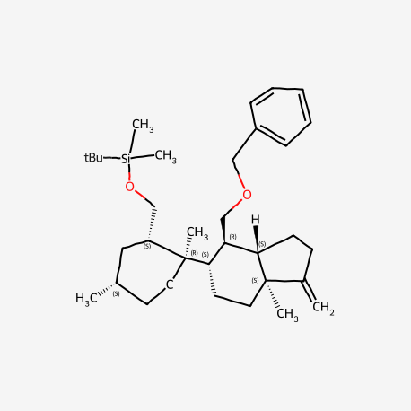 C=C1CC[C@H]2[C@H](COCc3ccccc3)[C@@H]([C@@]3(C)CC[C@H](C)C[C@@H]3CO[Si](C)(C)C(C)(C)C)CC[C@]12C